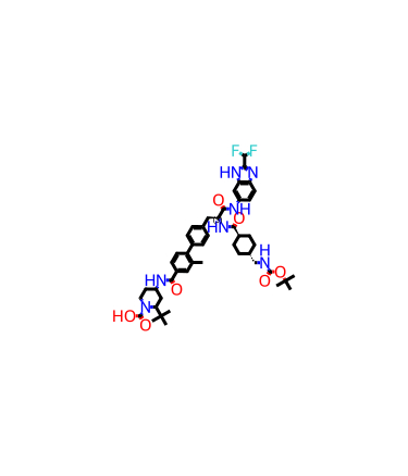 Cc1cc(C(=O)NC2CCN(C(=O)O)C(C(C)(C)C)C2)ccc1-c1ccc(C[C@H](NC(=O)[C@H]2CC[C@H](CNC(=O)OC(C)(C)C)CC2)C(=O)Nc2ccc3nc(C(F)F)[nH]c3c2)cc1